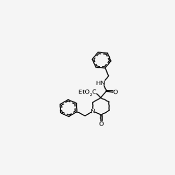 CCOC(=O)C1(C(=O)NCc2ccccc2)CCC(=O)N(Cc2ccccc2)C1